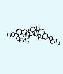 COc1ccc2c(c1)CC[C@@H]1[C@@H]2CC[C@]2(C)[C@@H](NCc3ccc(O)c(OC)c3)CC[C@@H]12